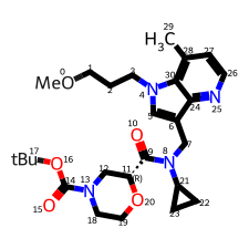 COCCCn1cc(CN(C(=O)[C@H]2CN(C(=O)OC(C)(C)C)CCO2)C2CC2)c2nccc(C)c21